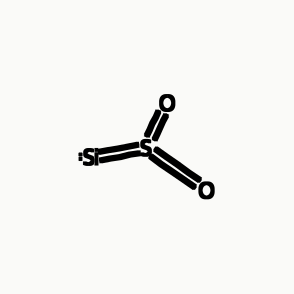 O=S(=O)=[Si]